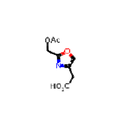 CC(=O)OCc1nc(CC(=O)O)co1